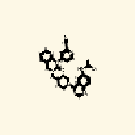 CC(=O)Nc1ccc2ncnc(N3CCC(CN4Cc5cccnc5N(c5ccnc(C#N)c5)C4=O)CC3)c2c1